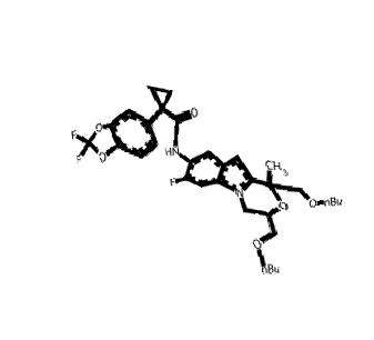 CCCCOCC1Cn2c(cc3cc(NC(=O)C4(c5ccc6c(c5)OC(F)(F)O6)CC4)c(F)cc32)C(C)(COCCCC)O1